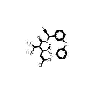 CC(C)C(C(=O)OC(C#N)c1cccc(Oc2ccccc2)c1)C(C=C(Cl)Cl)[N+](=O)[O-]